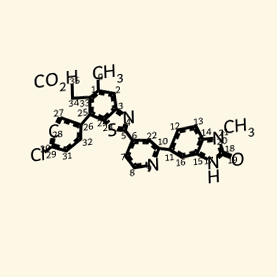 Cc1cc2nc(-c3ccnc(-c4ccc5c(c4)[nH]c(=O)n5C)c3)sc2c(-c2ccc(Cl)cc2)c1CC(=O)O